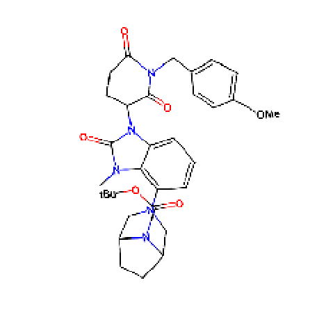 COc1ccc(CN2C(=O)CCC(n3c(=O)n(C)c4c(N5CC6CCC(C5)N6C(=O)OC(C)(C)C)cccc43)C2=O)cc1